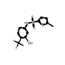 Cc1ccc(S(=O)(=O)Nc2ccc(C(F)(F)F)c(O)c2)s1